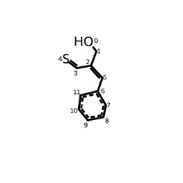 OC/C(C=S)=C/c1ccccc1